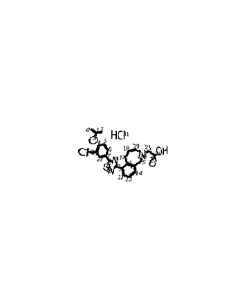 CC(C)Oc1ccc(-c2nc(-c3cccc4c3CCCN(CC(=O)O)C4)no2)cc1Cl.Cl